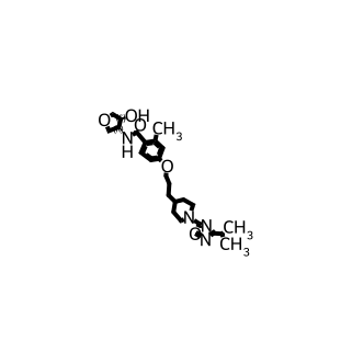 Cc1cc(OCCCC2CCN(c3nc(C(C)C)no3)CC2)ccc1C(=O)N[C@@H]1COC[C@H]1O